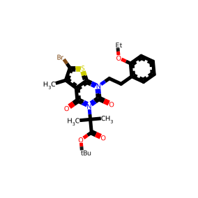 CCOc1ccccc1CCn1c(=O)n(C(C)(C)C(=O)OC(C)(C)C)c(=O)c2c(C)c(Br)sc21